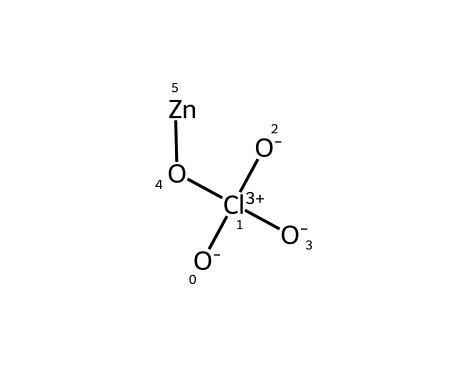 [O-][Cl+3]([O-])([O-])[O][Zn]